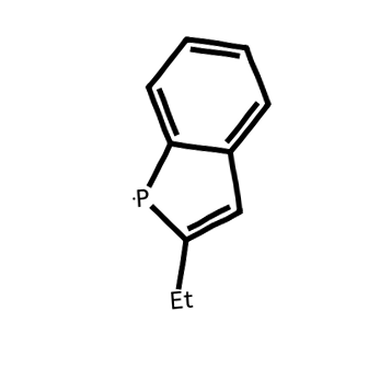 CCC1=Cc2ccccc2[P]1